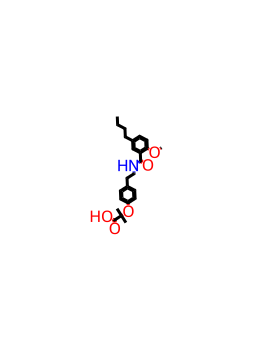 CCCCc1ccc(OC)c(C(=O)NCCc2ccc(OC(C)(C)C(=O)O)cc2)c1